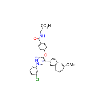 COC1=Cc2ccc(/C=C(/C=N\N(C)c3cccc(Cl)c3)Oc3ccc(C(=O)NCCC(=O)O)cc3)cc2CC=C1